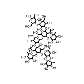 CC(=O)NC1[C@H](O[C@@H]2C(O)[C@H](O[C@@H]3C(CO)O[C@@H](O)C(O)[C@H]3O)OC(CO)[C@@H]2O)OC(CO)[C@@H](C[C@@H]2O[C@@H](CO)[C@H](O)C(O[C@@H]3OC(CO)[C@@H](O[C@@H]4O[C@@H](CO)[C@H](O)C(O)C4O[C@@H]4O[C@@H](C)[C@@H](O)C(O)C4O)[C@H](O[C@@H]4OC(C)[C@@H](O)[C@H](O)C4O)C3NC(C)=O)C2O)[C@@H]1O[C@@H]1OC(C)[C@@H](O)[C@H](O)C1O